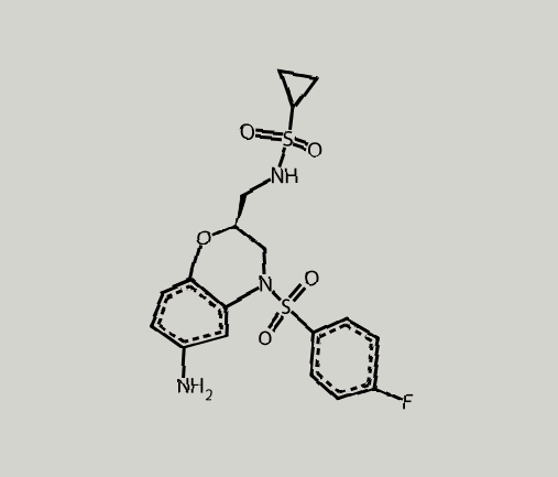 Nc1ccc2c(c1)N(S(=O)(=O)c1ccc(F)cc1)C[C@H](CNS(=O)(=O)C1CC1)O2